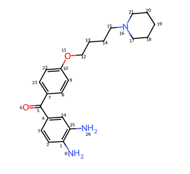 Nc1ccc(C(=O)c2ccc(OCCCCN3CCCCC3)cc2)cc1N